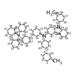 Cc1cccc(-c2ccc(N(c3cccc(-c4cccc5c4-c4ccccc4C54c5ccccc5-c5ccccc54)c3)c3ccc4c(c3)c3ccccc3n4-c3cccc(C)c3)cc2)c1